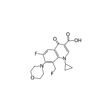 O=C(O)c1cn(C2CC2)c2c(CF)c(N3CCOCC3)c(F)cc2c1=O